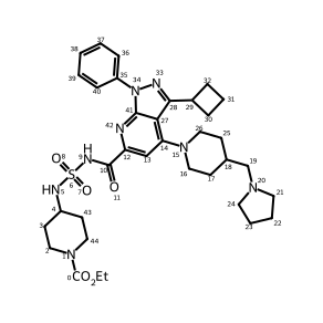 CCOC(=O)N1CCC(NS(=O)(=O)NC(=O)c2cc(N3CCC(CN4CCCC4)CC3)c3c(C4CCC4)nn(-c4ccccc4)c3n2)CC1